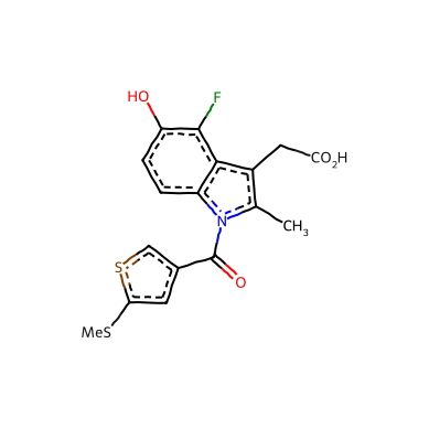 CSc1cc(C(=O)n2c(C)c(CC(=O)O)c3c(F)c(O)ccc32)cs1